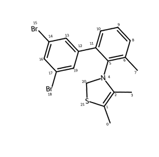 CC1=C(C)N(c2c(C)cccc2-c2cc(Br)cc(Br)c2)CS1